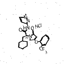 Cl.Cn1ccc(NC(=O)[C@H](CC2CCCCC2)N2CC(Oc3ccccc3C(F)(F)F)=CC2=O)n1